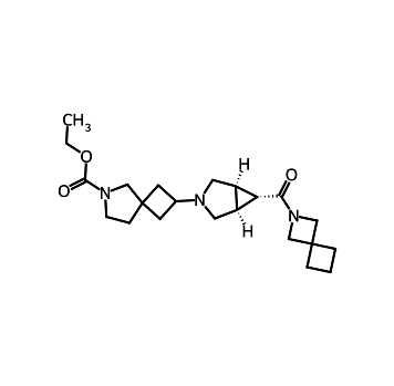 CCOC(=O)N1CCC2(CC(N3C[C@@H]4[C@H](C3)[C@H]4C(=O)N3CC4(CCC4)C3)C2)C1